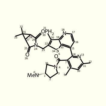 CN[C@H]1CCN(C(=O)c2c(C)cc(C)nc2-c2ccnc3c(P)c(CN4C(=O)C5C(C4=O)C5(C)C)sc23)C1